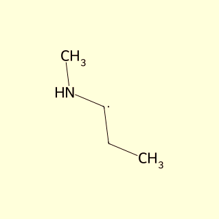 CC[CH]NC